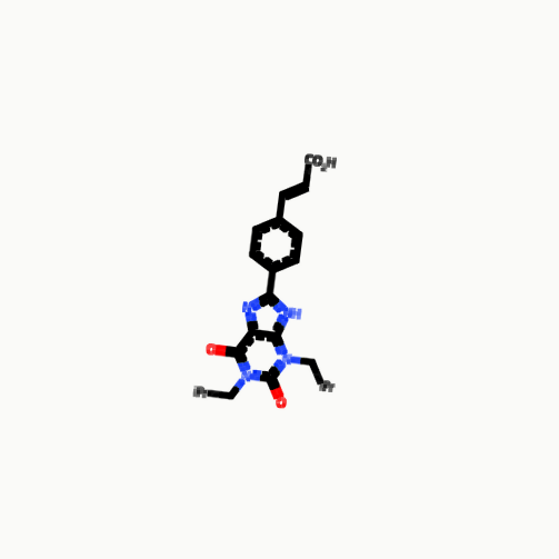 CC(C)Cn1c(=O)c2nc(-c3ccc(C=CC(=O)O)cc3)[nH]c2n(CC(C)C)c1=O